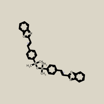 C[Si](C)(O[Si](C)(C)c1ccc(/C=C/c2nc3ccccc3o2)cc1)c1ccc(/C=C/c2nc3ccccc3o2)cc1